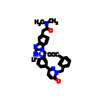 CN(C)C(=O)Cc1ccc2c(c1)nc(N)n2Cc1cccc(-c2ccc(=O)n(Cc3cccc(C(=O)[O-])c3)n2)c1.[Li+]